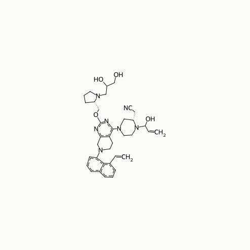 C=Cc1cccc2cccc(N3CCc4c(nc(OC[C@@H]5CCCN5CC(O)CO)nc4N4CCN(C(O)C=C)[C@@H](CC#N)C4)C3)c12